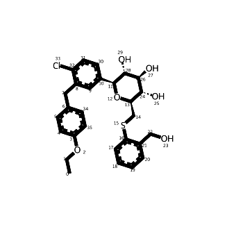 CCOc1ccc(Cc2cc([C@@H]3O[C@H](CSc4ccccc4CO)[C@@H](O)[C@H](O)[C@H]3O)ccc2Cl)cc1